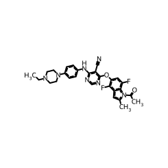 CCN1CCN(c2ccc(Nc3ncnc(Oc4cc(F)c5c(cc(C)n5C(C)=O)c4F)c3C#N)cc2)CC1